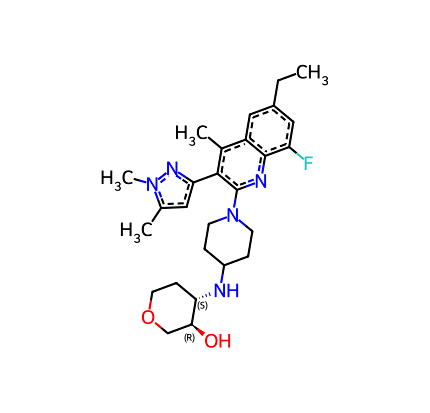 CCc1cc(F)c2nc(N3CCC(N[C@H]4CCOC[C@@H]4O)CC3)c(-c3cc(C)n(C)n3)c(C)c2c1